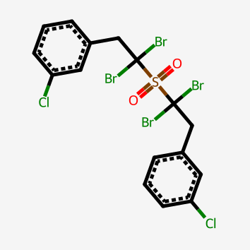 O=S(=O)(C(Br)(Br)Cc1cccc(Cl)c1)C(Br)(Br)Cc1cccc(Cl)c1